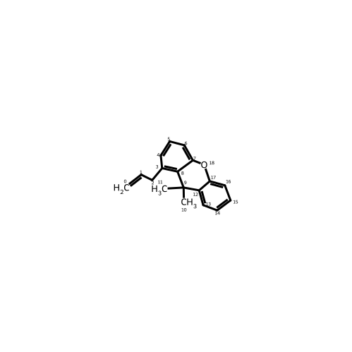 C=CCc1cccc2c1C(C)(C)c1ccccc1O2